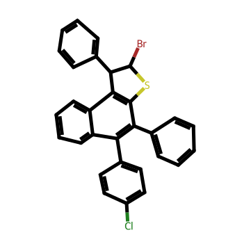 Clc1ccc(-c2c(-c3ccccc3)c3c(c4ccccc24)C(c2ccccc2)C(Br)S3)cc1